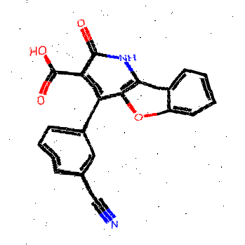 N#Cc1cccc(-c2c(C(=O)O)c(=O)[nH]c3c2oc2ccccc23)c1